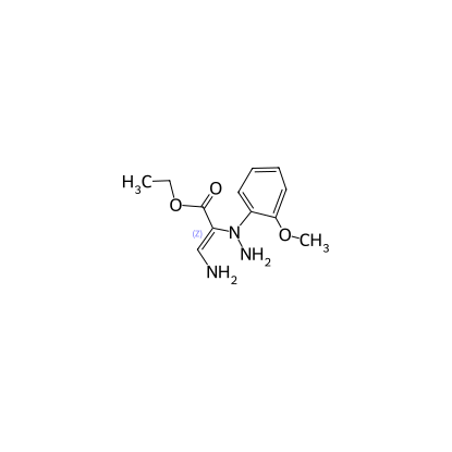 CCOC(=O)/C(=C/N)N(N)c1ccccc1OC